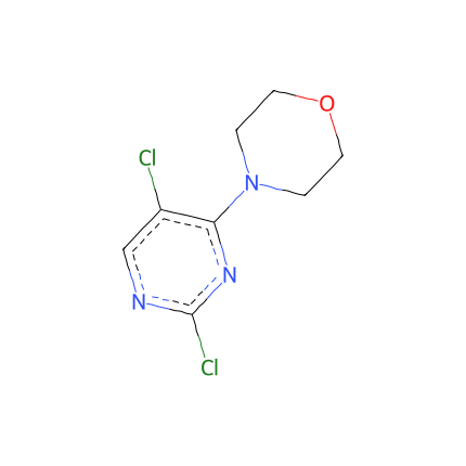 Clc1ncc(Cl)c(N2CCOCC2)n1